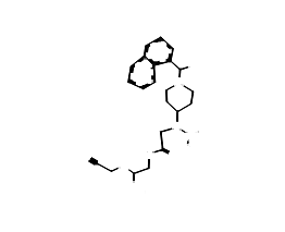 C#CCOC(CNC(=O)CN(C1CCN(C(C)c2cccc3ccccc23)CC1)[S+](C)[O-])C(F)(F)F